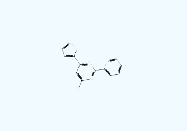 Clc1cc(-c2ccco2)nc(-c2ccccn2)n1